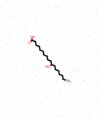 CCCCCCCC(O)CCCCCCCCCC(=O)O